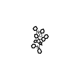 c1ccc(N(c2ccccc2)c2cccc3c2Oc2c(ccc4ccccc24)C32c3ccccc3-c3c(N(c4ccccc4)c4ccccc4)cccc32)cc1